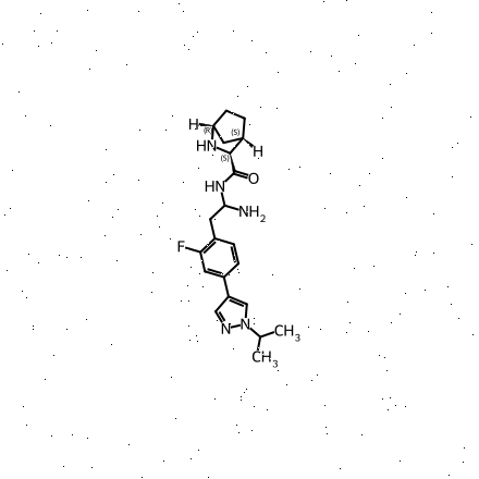 CC(C)n1cc(-c2ccc(CC(N)NC(=O)[C@H]3N[C@@H]4CC[C@H]3C4)c(F)c2)cn1